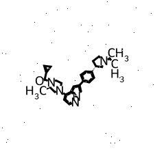 CC(C)N1CC[C@@H](c2ccc(-c3cc4c(N5CCN(C(=O)C6=CC6)[C@H](C)C5)ccnn4c3)cc2)C1